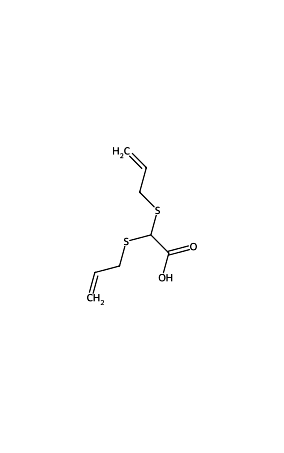 C=CCSC(SCC=C)C(=O)O